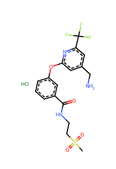 CS(=O)(=O)CCNC(=O)c1cccc(Oc2cc(CN)cc(C(F)(F)F)n2)c1.Cl